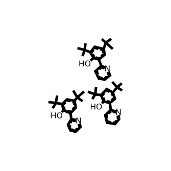 CC(C)(C)c1cc(-c2ccccn2)c(O)c(C(C)(C)C)c1.CC(C)(C)c1cc(-c2ccccn2)c(O)c(C(C)(C)C)c1.CC(C)(C)c1cc(-c2ccccn2)c(O)c(C(C)(C)C)c1